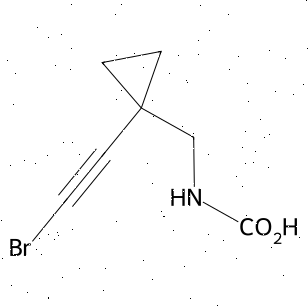 O=C(O)NCC1(C#CBr)CC1